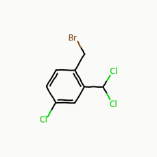 Clc1ccc(CBr)c(C(Cl)Cl)c1